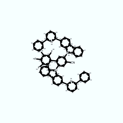 N#Cc1cc(-n2c3ccccc3c3ccc(-c4cccc(-c5ccccc5)n4)cc32)c(-c2c(F)c(F)c(F)c(F)c2F)cc1-n1c2ccccc2c2ccc(-c3cccc(-c4ccccc4)n3)cc21